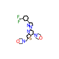 FC(F)c1cccc(-c2ccn(-c3cc(N4CCOCC4)c4sc(CN5CCOCC5)cc4n3)n2)c1